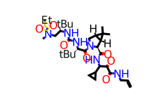 C=CCNC(=O)C(=O)C(NC(=O)[C@@H]1[C@@H]2[C@H](CN1C(=O)[C@@H](NC(=O)N[C@H](CN(C)S(=O)(=O)CC)C(C)(C)C)C(C)(C)C)C2(C)C)C1CC1